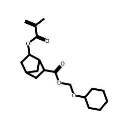 C=C(C)C(=O)OC1CC2CC(C(=O)OCOC3CCCCC3)C1C2